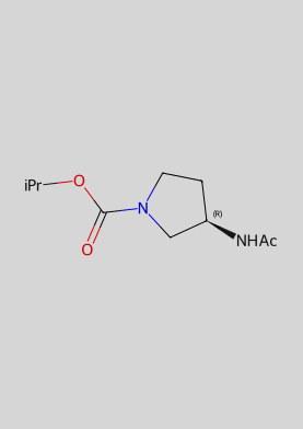 CC(=O)N[C@@H]1CCN(C(=O)OC(C)C)C1